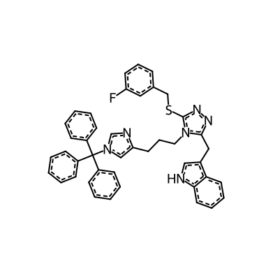 Fc1cccc(CSc2nnc(Cc3c[nH]c4ccccc34)n2CCCc2cn(C(c3ccccc3)(c3ccccc3)c3ccccc3)cn2)c1